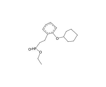 CCO[PH](=O)CCc1ccccc1OC1CCCCC1